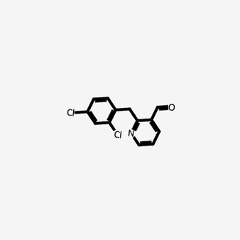 O=Cc1cccnc1Cc1ccc(Cl)cc1Cl